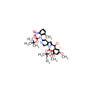 COc1cc(OC)c(F)c(C(=O)c2cc3cc(N(C(=O)OC(C)(C)C)c4c(C)cccc4[N+](=O)[O-])ncc3n2C(=O)OC(C)(C)C)c1F